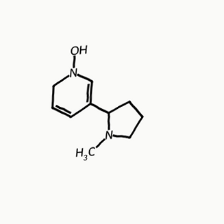 CN1CCCC1C1=CN(O)CC=C1